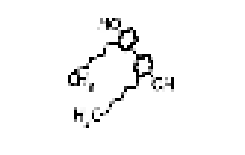 CCCCCCc1cc(-c2ccc(O)c(CCCCCC)c2)ccc1O